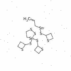 C1[CH2][Sn]([S]C2CCS2)([S]C2CCS2)[S]S1.C=C[CH2][Sn][S]C1CCS1